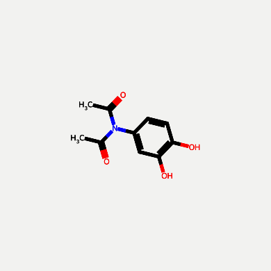 CC(=O)N(C(C)=O)c1ccc(O)c(O)c1